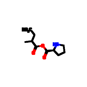 CC(CC(=O)O)C(=O)OC(=O)[C@@H]1CCCN1